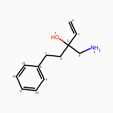 C=CC(O)(CN)CCc1ccccc1